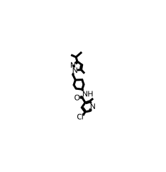 Cc1ncc(Cl)cc1C(=O)NC1CCC(Cn2nc(C(C)C)cc2C)CC1